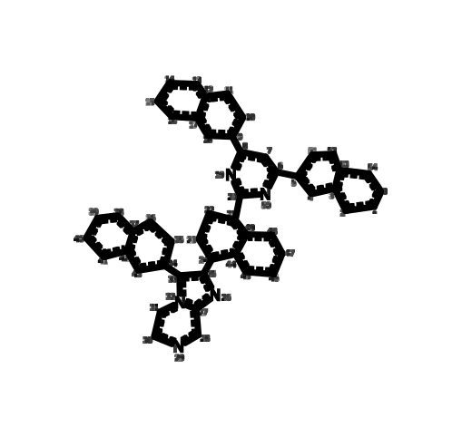 c1ccc2cc(-c3cc(-c4ccc5ccccc5c4)nc(-c4ccc(-c5nc6cnccn6c5-c5ccc6ccccc6c5)c5ccccc45)n3)ccc2c1